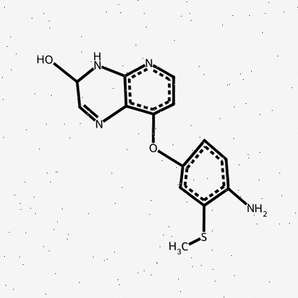 CSc1cc(Oc2ccnc3c2N=CC(O)N3)ccc1N